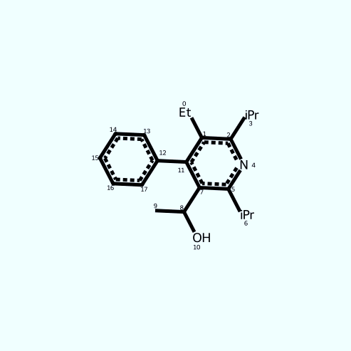 CCc1c(C(C)C)nc(C(C)C)c(C(C)O)c1-c1ccccc1